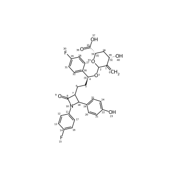 C=C1C(O[C@@H](CCC2C(=O)N(c3ccc(F)cc3)C2c2ccc(O)cc2)c2ccc(F)cc2)O[C@H](C(=O)O)C[C@@H]1O